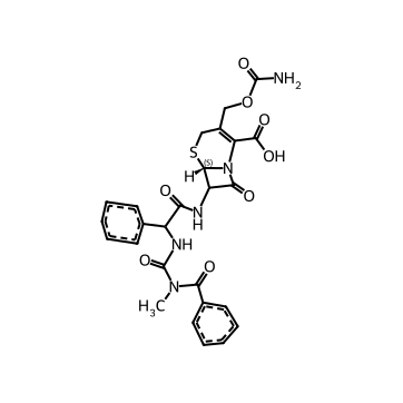 CN(C(=O)NC(C(=O)NC1C(=O)N2C(C(=O)O)=C(COC(N)=O)CS[C@@H]12)c1ccccc1)C(=O)c1ccccc1